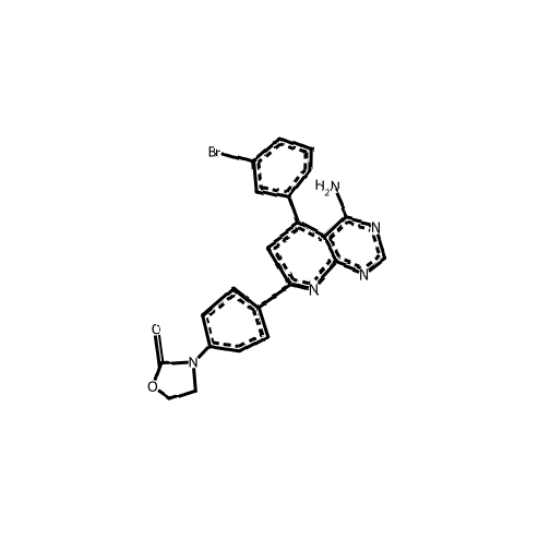 Nc1ncnc2nc(-c3ccc(N4CCOC4=O)cc3)cc(-c3cccc(Br)c3)c12